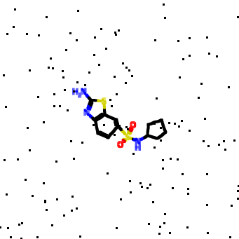 Nc1nc2ccc(S(=O)(=O)NC3CCCC3)cc2s1